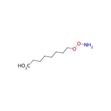 NOOCCCCCCCC(=O)O